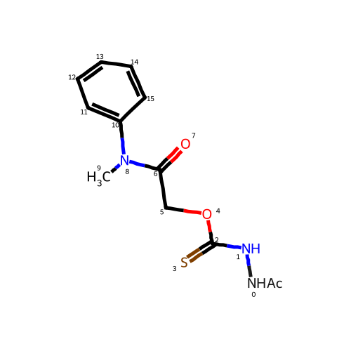 CC(=O)NNC(=S)OCC(=O)N(C)c1ccccc1